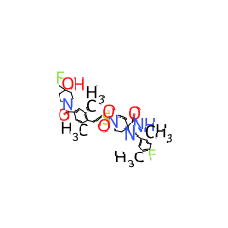 Cc1cc(C2=NC3(CCN(S(=O)(=O)C=Cc4c(C)cc(C(=O)N5CCC(O)(CF)CC5)cc4C)CC3)C(=O)N2)c(C)cc1F